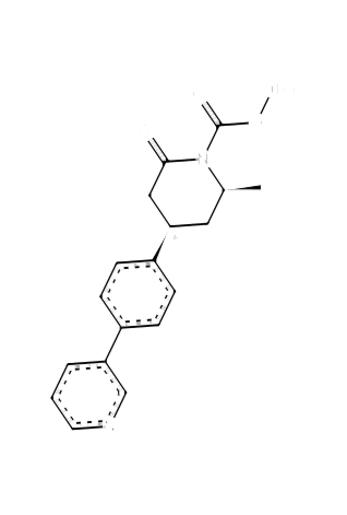 C[C@H]1C[C@@H](c2ccc(-c3cccnc3)cc2)CC(=O)N1C(=O)OC(C)(C)C